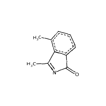 CC1=NC(=O)c2cccc(C)c21